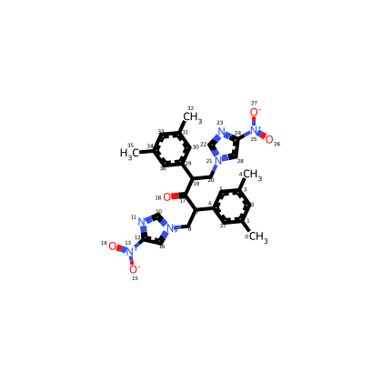 Cc1cc(C)cc(C(Cn2cnc([N+](=O)[O-])c2)C(=O)C(Cn2cnc([N+](=O)[O-])c2)c2cc(C)cc(C)c2)c1